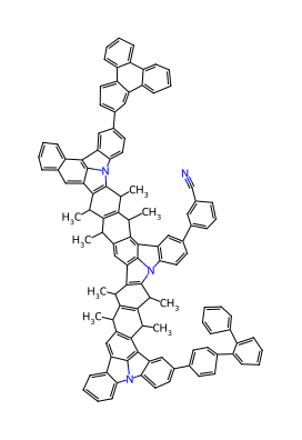 CC1C2=C(C(C)c3c1cc1c4c(n5c6ccc(-c7cccc(C#N)c7)cc6c3c15)C(C)C1=C(C(C)c3cc5c6ccccc6n6c7ccc(-c8ccc(-c9ccccc9-c9ccccc9)cc8)cc7c(c3C1C)c56)C4C)C(C)c1c(c3cc4ccccc4c4c5cc(-c6ccc7c8ccccc8c8ccccc8c7c6)ccc5n1c34)C2C